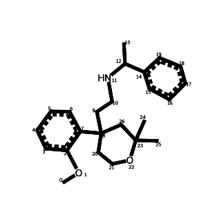 COc1ccccc1C1(CCNC(C)c2ccccc2)CCOC(C)(C)C1